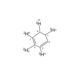 [2H][C]1C=C([2H])C([2H])=C([2H])C1[2H]